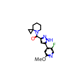 COc1cc(-c2cc(C(=O)N3CCCCC34CC4)n[nH]2)c(F)cn1